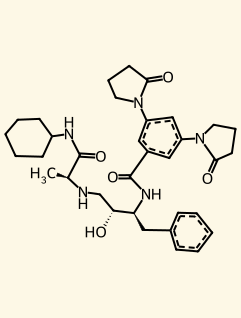 C[C@H](NC[C@@H](O)[C@H](Cc1ccccc1)NC(=O)c1cc(N2CCCC2=O)cc(N2CCCC2=O)c1)C(=O)NC1CCCCC1